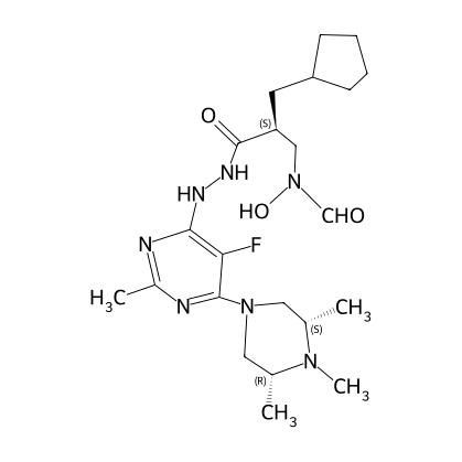 Cc1nc(NNC(=O)[C@@H](CC2CCCC2)CN(O)C=O)c(F)c(N2C[C@@H](C)N(C)[C@@H](C)C2)n1